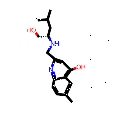 Cc1ccc2nc(CN[C@H](CO)CC(C)C)cc(O)c2c1